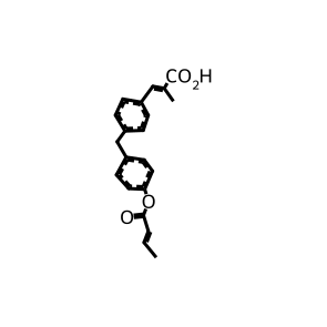 CC=CC(=O)Oc1ccc(Cc2ccc(C=C(C)C(=O)O)cc2)cc1